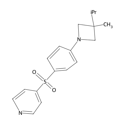 CC(C)C1(C)CN(c2ccc(S(=O)(=O)c3ccncc3)cc2)C1